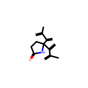 C=C(C)C(=C)C1(C(=C)C(=C)C)CCC(=O)N1